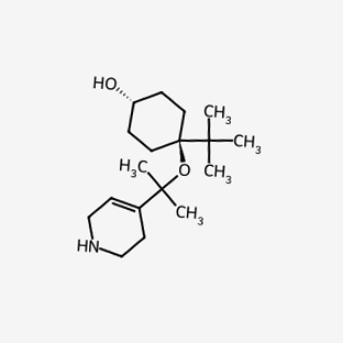 CC(C)(O[C@]1(C(C)(C)C)CC[C@@H](O)CC1)C1=CCNCC1